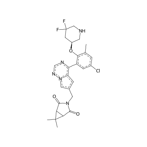 Cc1cc(Cl)cc(-c2ncnn3cc(CN4C(=O)C5C(C4=O)C5(C)C)cc23)c1O[C@@H]1CNCC(F)(F)C1